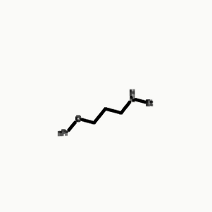 [CH2]CCOCCCNCC